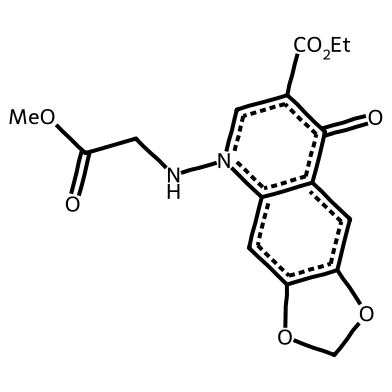 CCOC(=O)c1cn(NCC(=O)OC)c2cc3c(cc2c1=O)OCO3